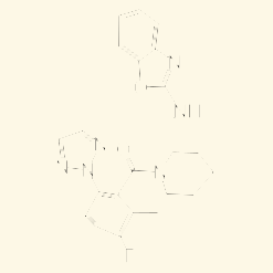 Cc1c(F)ccc(-n2nccn2)c1C(=O)N1CCC[C@@H](C)[C@H]1CNc1nc2ccccc2o1